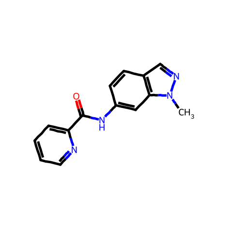 Cn1ncc2ccc(NC(=O)c3ccccn3)cc21